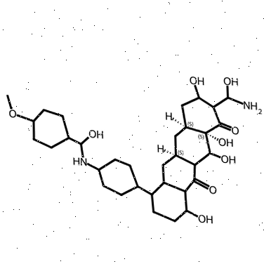 COC1CCC(C(O)NC2CCC(C3CCC(O)C4C(=O)C5C(O)[C@]6(O)C(=O)C(C(N)O)C(O)C[C@@H]6C[C@@H]5CC34)CC2)CC1